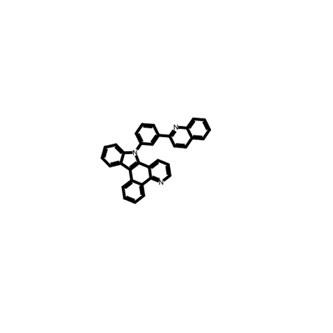 c1cc(-c2ccc3ccccc3n2)cc(-n2c3ccccc3c3c4ccccc4c4ncccc4c32)c1